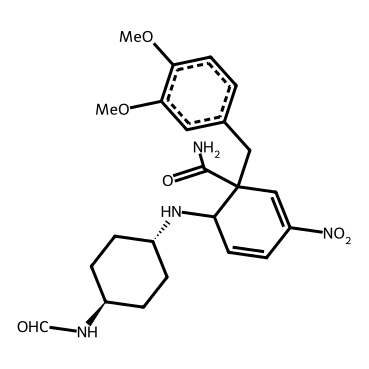 COc1ccc(CC2(C(N)=O)C=C([N+](=O)[O-])C=CC2N[C@H]2CC[C@H](NC=O)CC2)cc1OC